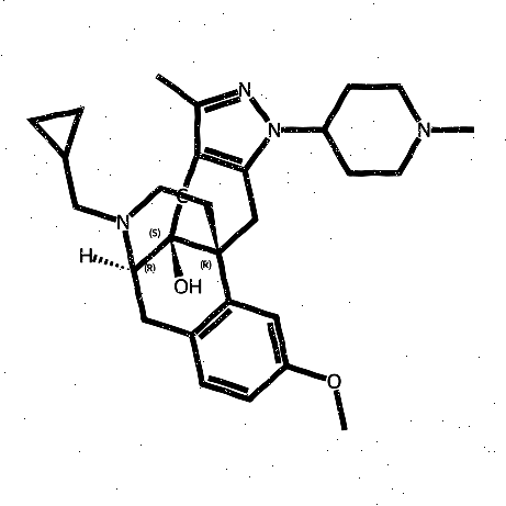 COc1ccc2c(c1)[C@]13CCN(CC4CC4)[C@H](C2)[C@]1(O)Cc1c(C)nn(C2CCN(C)CC2)c1C3